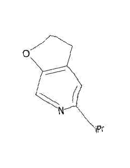 CC(C)c1cc2c(cn1)OCC2